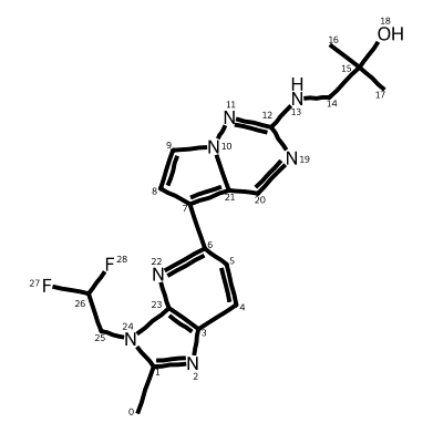 Cc1nc2ccc(-c3ccn4nc(NCC(C)(C)O)ncc34)nc2n1CC(F)F